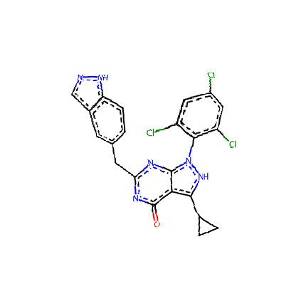 O=c1nc(Cc2ccc3[nH]ncc3c2)nc2n(-c3c(Cl)cc(Cl)cc3Cl)[nH]c(C3CC3)c1-2